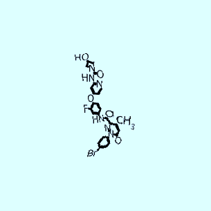 Cc1cc(=O)n(-c2ccc(Br)cc2)nc1C(=O)Nc1ccc(Oc2ccnc(NC(=O)N3CC(O)C3)c2)c(F)c1